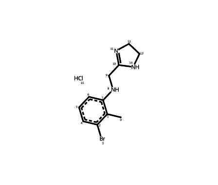 Cc1c(Br)cccc1NCC1=NCCN1.Cl